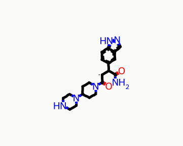 NC(=O)C([CH]C(=O)N1CCC(N2CCNCC2)CC1)c1ccc2[nH]ncc2c1